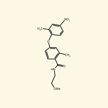 COCCNC(=O)c1ccc(Oc2ccc([N+](=O)[O-])cc2C)cc1C